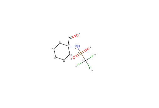 O=CC1(NS(=O)(=O)C(F)(F)F)CCCCC1